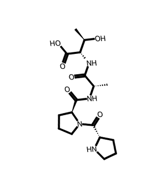 C[C@H](NC(=O)[C@@H]1CCCN1C(=O)[C@@H]1CCCN1)C(=O)N[C@H](C(=O)O)[C@@H](C)O